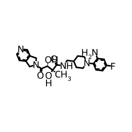 C[C@](O)(C(=O)NCC1CCN(c2ccc(F)cc2N)CC1)[C@@H](O)C(=O)N1Cc2ccncc2C1